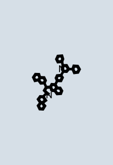 c1ccc(-c2cc(-c3ccccc3)nc(-c3ccc(-c4cc5c(-c6ccc7ccccc7c6)cc(-c6ccc7ccccc7c6)nc5c5ccccc45)cc3)c2)cc1